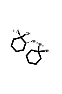 NC1(N)CCCCC1.N[C@@H]1CCCC[C@]1(N)O